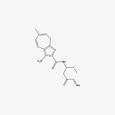 C=C(C=N)CC(CC)NC(=O)c1sc2c(c1N)C=CC(C)=CC2